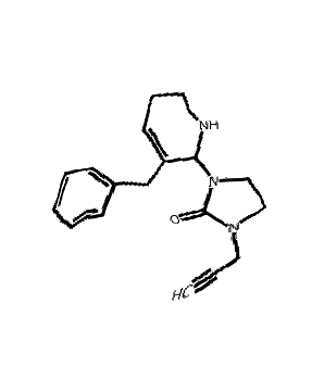 C#CCN1CCN(C2NCCC=C2Cc2ccccc2)C1=O